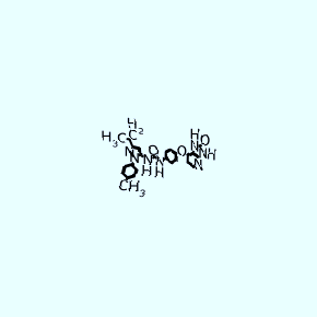 C=C(C)c1cc(NC(=O)Nc2ccc(Oc3ccnc4[nH]c(=O)[nH]c34)cc2)n(-c2ccc(C)cc2)n1